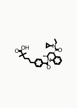 CCN(C(=O)[C@H]1C[C@H](C)N(C(=O)c2ccc(CCCC(C)(C)C(=O)O)cc2)c2ccccc21)C1CC1